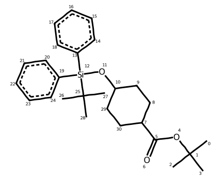 CC(C)(C)OC(=O)C1CCC(O[Si](c2ccccc2)(c2ccccc2)C(C)(C)C)CC1